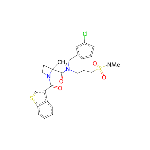 CNS(=O)(=O)CCCN(Cc1cccc(Cl)c1)C(=O)C1(C)CCN1C(=O)c1csc2ccccc12